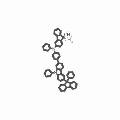 CC1(C)c2ccccc2-c2cc(N(c3ccccc3)c3ccc(-c4ccc5c6cc(C7(c8ccccc8)c8ccccc8-c8ccccc87)ccc6n(-c6ccccc6)c5c4)cc3)ccc21